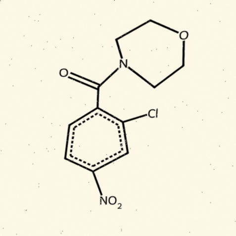 O=C(c1ccc([N+](=O)[O-])cc1Cl)N1CCOCC1